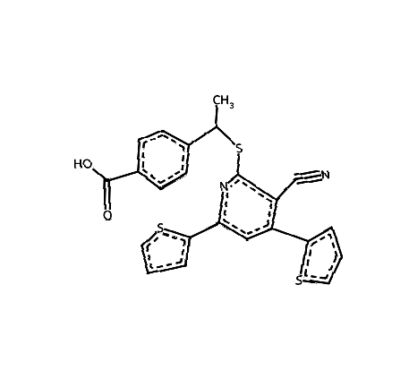 CC(Sc1nc(-c2cccs2)cc(-c2cccs2)c1C#N)c1ccc(C(=O)O)cc1